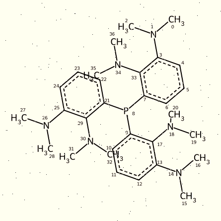 CN(C)c1cccc(P(c2cccc(N(C)C)c2N(C)C)c2cccc(N(C)C)c2N(C)C)c1N(C)C